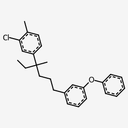 CCC(C)(CCCc1cccc(Oc2ccccc2)c1)c1ccc(C)c(Cl)c1